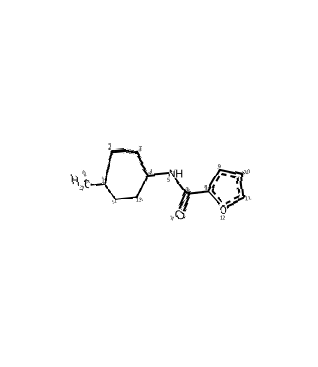 CC1CCC(NC(=O)c2ccco2)CC1